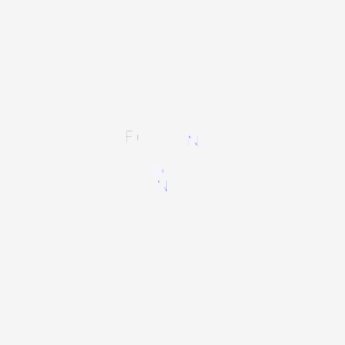 C=C/N=C(/CC)N(C)C